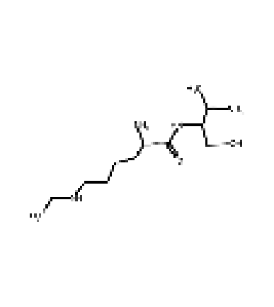 CCNCCCCC(N)C(=O)NC(CO)C(C)C